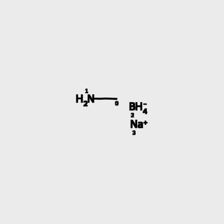 CN.[BH4-].[Na+]